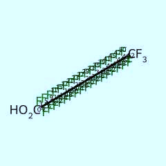 O=C(O)C(F)(F)C(F)(F)C(F)(F)C(F)(F)C(F)(F)C(F)(F)C(F)(F)C(F)(F)C(F)(F)C(F)(F)C(F)(F)C(F)(F)C(F)(F)C(F)(F)C(F)(F)C(F)(F)C(F)(F)C(F)(F)F